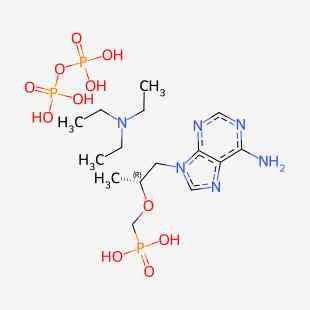 CCN(CC)CC.C[C@H](Cn1cnc2c(N)ncnc21)OCP(=O)(O)O.O=P(O)(O)OP(=O)(O)O